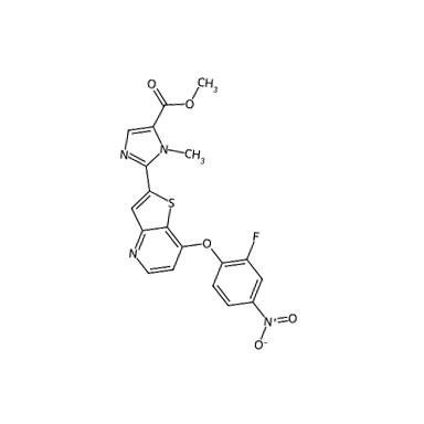 COC(=O)c1cnc(-c2cc3nccc(Oc4ccc([N+](=O)[O-])cc4F)c3s2)n1C